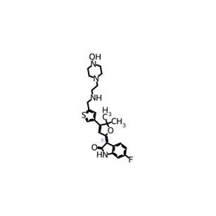 CC1(C)O/C(=C2/C(=O)Nc3cc(F)ccc32)C=C1c1csc(CNCCN2CCN(O)CC2)c1